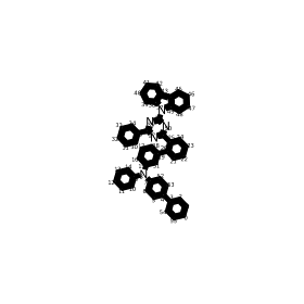 c1ccc(-c2ccc(N(c3ccccc3)c3cccc(-c4ccccc4-c4nc(-c5ccccc5)nc(-n5c6ccccc6c6ccccc65)n4)c3)cc2)cc1